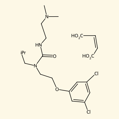 CC(C)CN(CCOc1cc(Cl)cc(Cl)c1)C(=O)NCCN(C)C.O=C(O)/C=C\C(=O)O